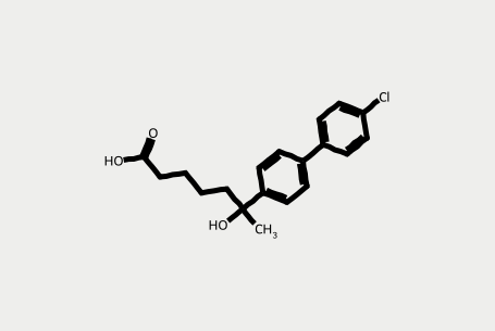 CC(O)(CCCCC(=O)O)c1ccc(-c2ccc(Cl)cc2)cc1